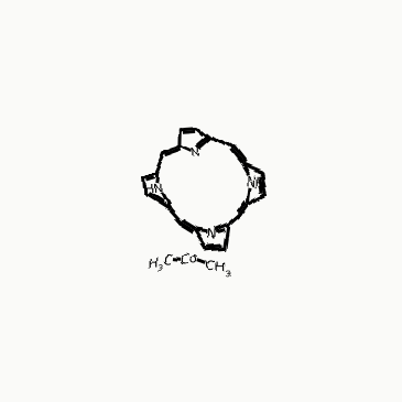 C1=Cc2cc3ccc(cc4nc(cc5ccc(cc1n2)[nH]5)C=C4)[nH]3.[CH3][Co][CH3]